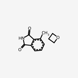 C1COC1.Cc1cccc2c1C(=O)NC2=O